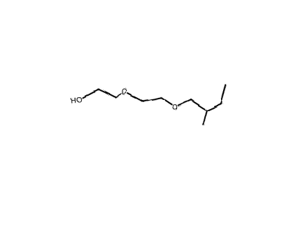 C[CH]C(C)COCCOCCO